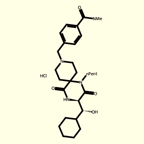 CCCCCN1C(=O)[C@@H]([C@H](O)C2CCCCC2)NC(=O)C12CCN(Cc1ccc(C(=O)NC)cc1)CC2.Cl